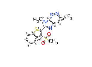 Cn1c(-c2sc3ccccc3c2S(C)(=O)=O)nc2cc(C(F)(F)F)nnc21